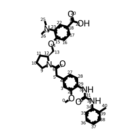 COc1cc(CC(=O)N2CCC[C@H]2COc2ccc(C(=O)O)cc2N(C)C)ccc1NC(=O)Nc1ccccc1C